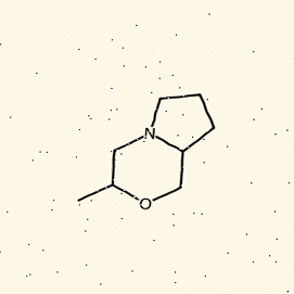 CC1CN2CCCC2CO1